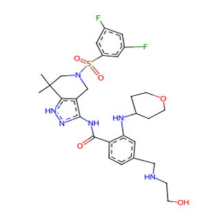 CC1(C)CN(S(=O)(=O)c2cc(F)cc(F)c2)Cc2c(NC(=O)c3ccc(CNCCO)cc3NC3CCOCC3)n[nH]c21